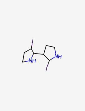 IC1CCNC1C1CCNC1I